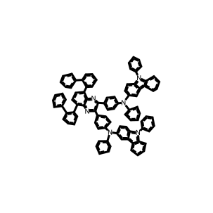 c1ccc(-c2ccccc2-c2ccc(-c3ccccc3-c3ccccc3)c3nc(-c4ccc(N(c5ccccc5)c5ccc6c(c5)c5ccccc5n6-c5ccccc5)cc4)c(-c4ccc(N(c5ccccc5)c5ccc6c(c5)c5ccccc5n6-c5ccccc5)cc4)nc23)cc1